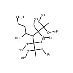 CCCOC(C)(OCCC)C(OCC)(OCCC)N(C(CCC(=O)O)C(=O)O)C(OCC)(OCCC)C(C)(OCCC)OCCC